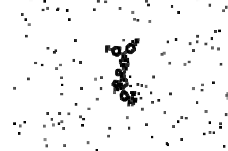 O=C(CN1CCN(C(c2ccc(F)cc2)c2ccc(F)cc2)CC1)N1CC=C(c2cccc(C(F)(F)F)c2)n2nccc21